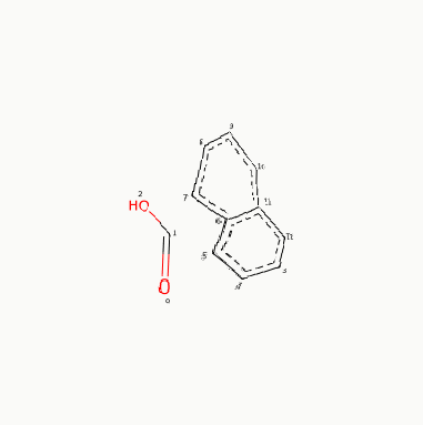 O=CO.c1ccc2ccccc2c1